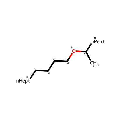 CCCCCCCCCCCOC(C)CCCCC